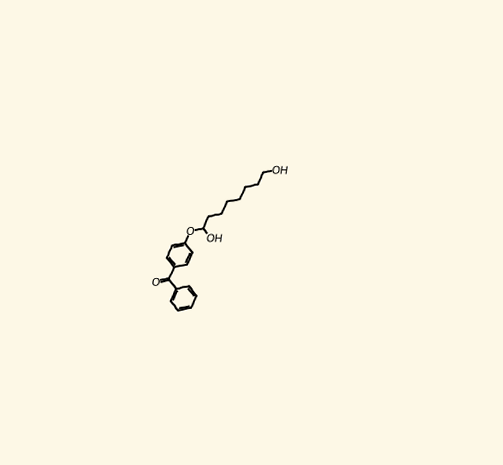 O=C(c1ccccc1)c1ccc(OC(O)CCCCCCCO)cc1